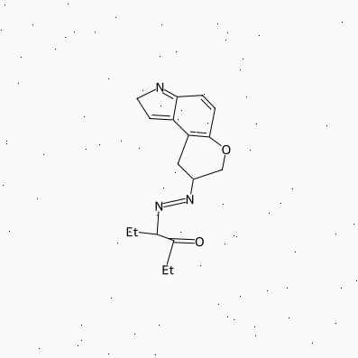 CCC(=O)C(CC)N=NC1COc2ccc3c(c2C1)=CCN=3